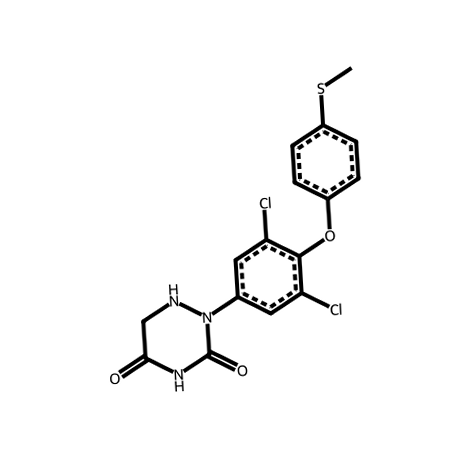 CSc1ccc(Oc2c(Cl)cc(N3NCC(=O)NC3=O)cc2Cl)cc1